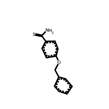 NC(=S)c1ccc(OCc2ccccc2)cc1